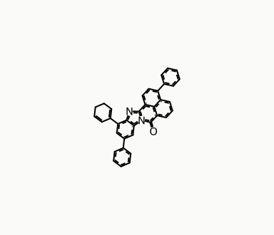 O=c1c2cccc3c(-c4ccccc4)ccc(c32)c2nc3c(C4=CCCC=C4)cc(-c4ccccc4)cc3n12